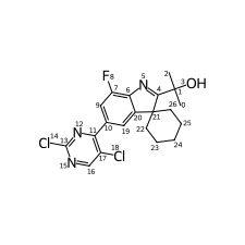 CC(C)(O)C1=Nc2c(F)cc(-c3nc(Cl)ncc3Cl)cc2C12CCCCC2